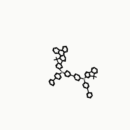 CC1(C)c2ccccc2-c2ccc(N(c3ccc(-c4ccccc4)cc3)c3ccc(-c4ccc(N(c5ccc(-c6ccccc6)cc5)c5ccc6c(c5)-c5ccc7c8ccccc8c8ccccc8c7c5C6(C)C)cc4)cc3)cc21